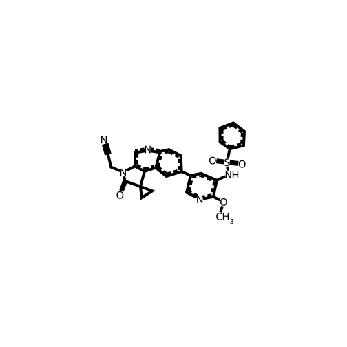 COc1ncc(-c2ccc3ncc4c(c3c2)C2(CC2)C(=O)N4CC#N)cc1NS(=O)(=O)c1ccccc1